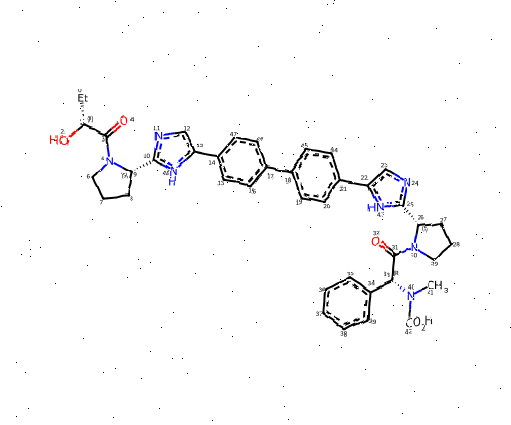 CC[C@@H](O)C(=O)N1CCC[C@H]1c1ncc(-c2ccc(-c3ccc(-c4cnc([C@@H]5CCCN5C(=O)[C@@H](c5ccccc5)N(C)C(=O)O)[nH]4)cc3)cc2)[nH]1